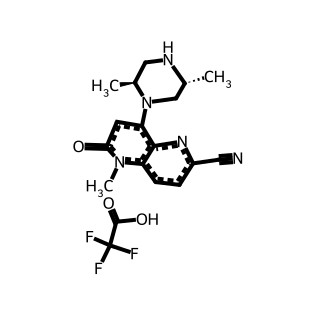 C[C@@H]1CN(c2cc(=O)n(C)c3ccc(C#N)nc23)[C@@H](C)CN1.O=C(O)C(F)(F)F